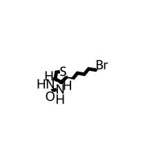 O=C1N[C@H]2[C@H](CS[C@H]2CCCCCBr)N1